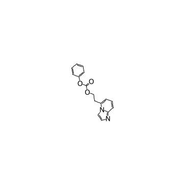 O=C(OCCc1cccc2nccn12)Oc1ccccc1